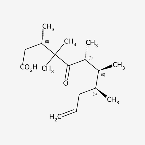 C=CC[C@H](C)[C@H](C)[C@@H](C)C(=O)C(C)(C)[C@@H](C)CC(=O)O